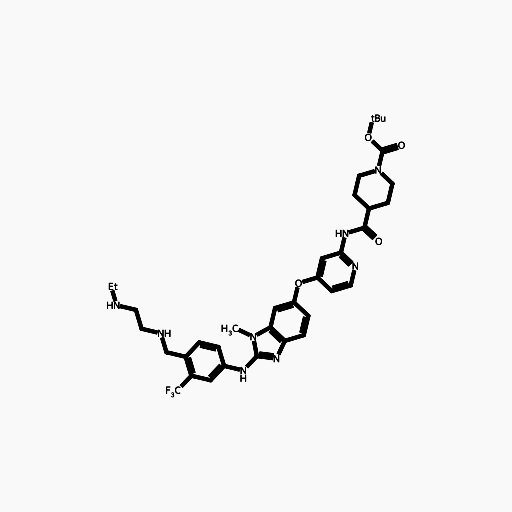 CCNCCNCc1ccc(Nc2nc3ccc(Oc4ccnc(NC(=O)C5CCN(C(=O)OC(C)(C)C)CC5)c4)cc3n2C)cc1C(F)(F)F